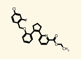 CCOC(=O)c1cccc(C2=C(c3ccccc3OCc3ccc(Cl)cc3F)CCC2)n1